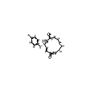 Cc1ccc(C[C@H]2/C=C/C(=O)NCCCCCC(=O)N2)cc1